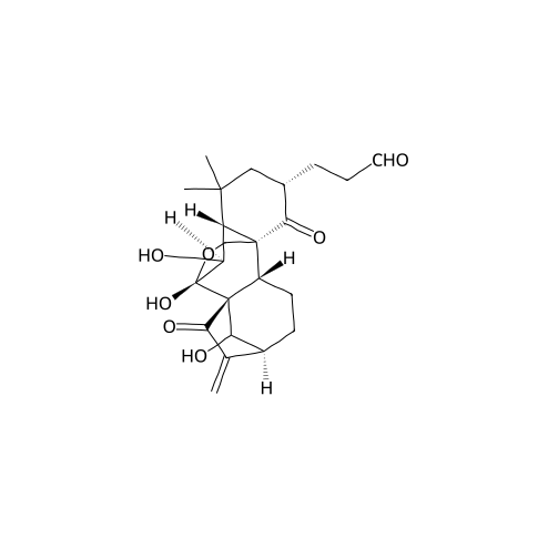 C=C1C(=O)[C@]23C(O)[C@H]1CC[C@H]2[C@@]12CO[C@]3(O)[C@@H](O)[C@@H]1C(C)(C)C[C@H](CCC=O)C2=O